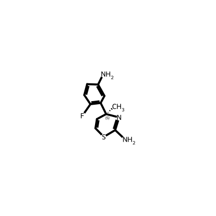 C[C@@]1(c2cc(N)ccc2F)C=CSC(N)=N1